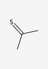 CC(C)=S